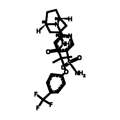 CC(C)(Oc1ccc(C(F)(F)F)cc1)C(=O)N[C@H]1C[C@H]2CC[C@@H](C1)N2c1ccc(S(N)(=O)=O)cn1